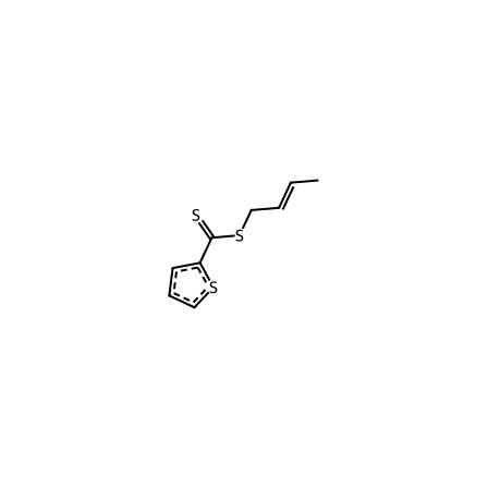 C/C=C/CSC(=S)c1cccs1